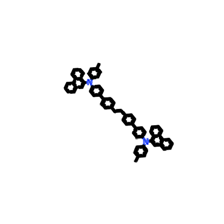 Cc1ccc(N(c2ccc(-c3ccc(/C=C/c4ccc(-c5ccc(N(c6ccc(C)cc6)c6cc7ccccc7c7ccccc67)cc5)cc4)cc3)cc2)c2cc3ccccc3c3ccccc23)cc1